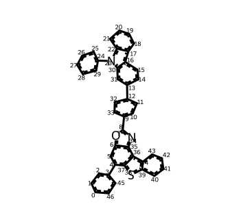 c1ccc(-c2cc3oc(-c4ccc(-c5ccc6c7ccccc7n(-c7ccccc7)c6c5)cc4)nc3c3c2sc2ccccc23)cc1